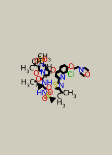 CC[C@@H]1C[C@]1(NC(=O)[C@@H]1C[C@@H](Oc2cc(-c3nc(C(C)C)cs3)nc3c(Cl)c(OCCN4CCOCC4)ccc23)[C@H]2CN(S(C)(=O)=O)[C@H](C(C)C)C(=O)N21)C(=O)NS(=O)(=O)C1CC1